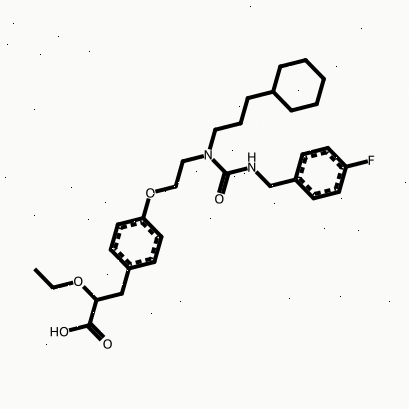 CCOC(Cc1ccc(OCCN(CCCC2CCCCC2)C(=O)NCc2ccc(F)cc2)cc1)C(=O)O